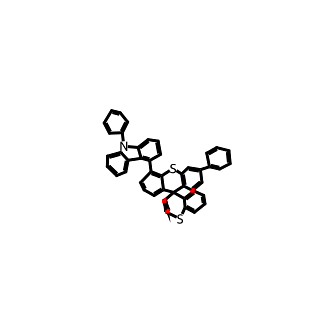 c1ccc(-c2ccc3c(c2)Sc2c(-c4cccc5c4c4ccccc4n5-c4ccccc4)cccc2C32c3ccccc3Sc3ccccc32)cc1